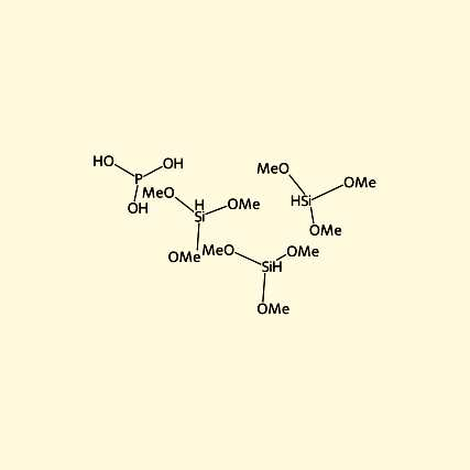 CO[SiH](OC)OC.CO[SiH](OC)OC.CO[SiH](OC)OC.OP(O)O